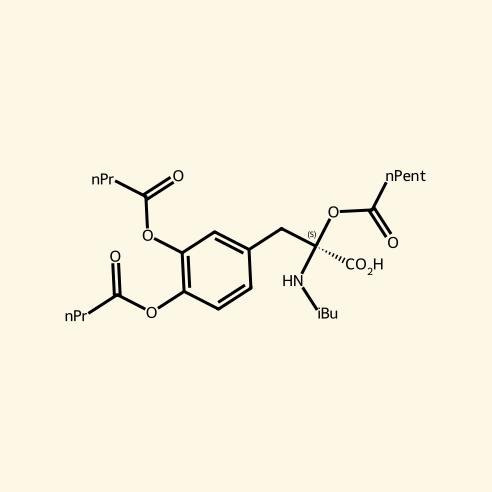 CCCCCC(=O)O[C@](Cc1ccc(OC(=O)CCC)c(OC(=O)CCC)c1)(NC(C)CC)C(=O)O